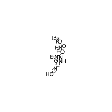 CCn1cc(-c2cccc(NC(=O)c3ccc(C(C)(C)C)nc3)c2F)nc(Nc2ccc(N3CCC(O)CC3)cc2)c1=O